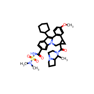 COc1ccc2c(c1)C1CC1(C(=O)N1CCN3CCCC3C1C)Cn1c-2c(C2CCCCC2)c2ccc(C(=O)NS(=O)(=O)N(C)C)cc21